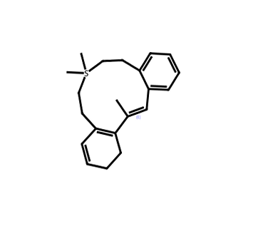 C/C1=C\c2ccccc2CCS(C)(C)CCC2=C1CCC=C2